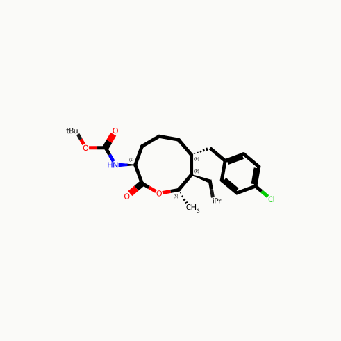 CC(C)C[C@@H]1[C@@H](Cc2ccc(Cl)cc2)CCC[C@H](NC(=O)OC(C)(C)C)C(=O)O[C@H]1C